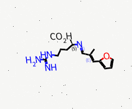 CC(/C=N/[C@@H](CCCNC(=N)N)C(=O)O)=C\c1ccco1